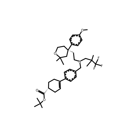 COc1ccc([C@]2(CCN(Cc3ccc(C4=CC[C@H](C(=O)OC(C)(C)C)CC4)cc3)CC(C)(C)C(F)(F)F)CCOC(C)(C)C2)cc1